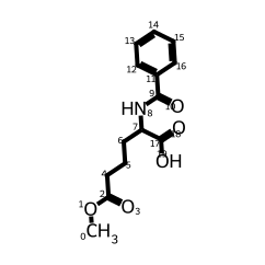 COC(=O)CCCC(NC(=O)c1ccccc1)C(=O)O